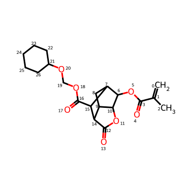 C=C(C)C(=O)OC1C2CC3C1OC(=O)C3C2C(=O)OCOC1CCCCC1